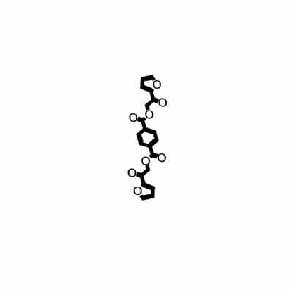 O=C(OCC(=O)c1ccco1)c1ccc(C(=O)OCC(=O)c2ccco2)cc1